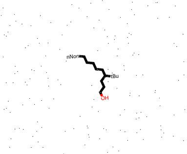 CCCCCCCCCCCCCCC(CCCO)C(C)(C)C